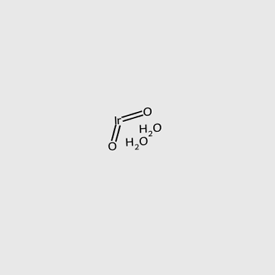 O.O.[O]=[Ir]=[O]